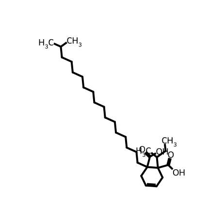 CCC(C)C1(C(=O)O)CC=CCC1(CCCCCCCCCCCCCCCC(C)C)C(=O)O